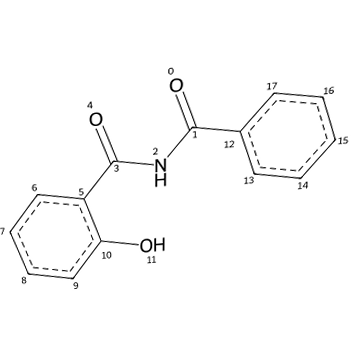 O=C(NC(=O)c1ccccc1O)c1ccccc1